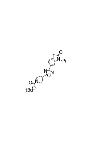 CC(C)N1C(=O)Cc2ccc(-c3noc(C4CCN(C(=O)OC(C)(C)C)CC4)n3)cc21